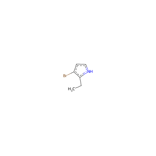 CCc1[nH]ccc1Br